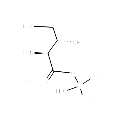 CC[C@H](C)[C@H](N)C(=O)O[Si](C)(C)C.Cl